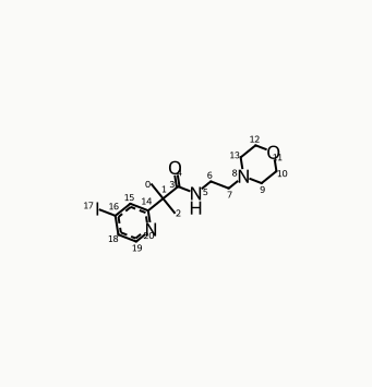 CC(C)(C(=O)NCCN1CCOCC1)c1cc(I)ccn1